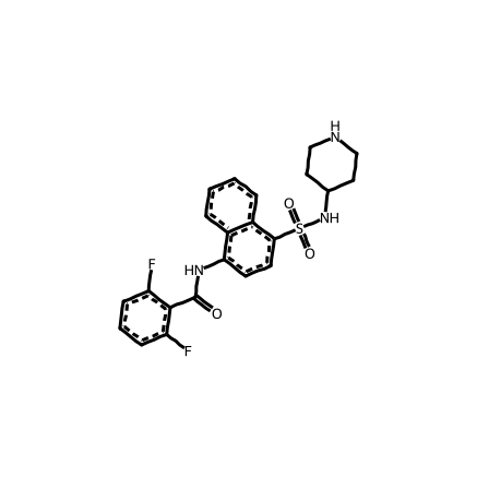 O=C(Nc1ccc(S(=O)(=O)NC2CCNCC2)c2ccccc12)c1c(F)cccc1F